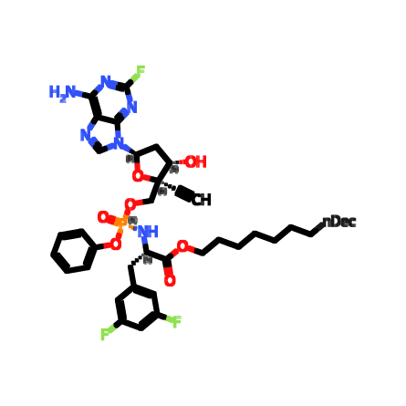 C#C[C@]1(CO[P@@](=O)(N[C@@H](Cc2cc(F)cc(F)c2)C(=O)OCCCCCCCCCCCCCCCCC)Oc2ccccc2)O[C@@H](n2cnc3c(N)nc(F)nc32)C[C@@H]1O